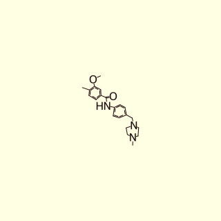 COc1cc(C(=O)Nc2ccc(CN3CCN(C)CC3)cc2)ccc1C